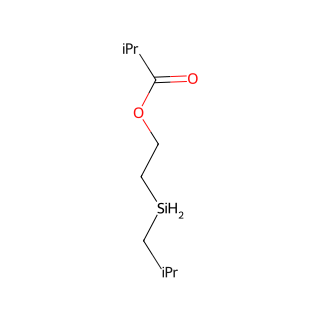 CC(C)C[SiH2]CCOC(=O)C(C)C